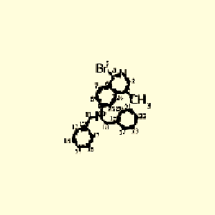 Cc1cnc(Br)c2ccc(N(Cc3ccccc3)Cc3ccccc3)cc12